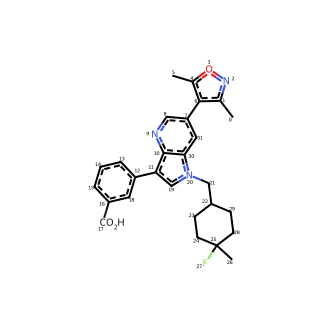 Cc1noc(C)c1-c1cnc2c(-c3cccc(C(=O)O)c3)cn(CC3CCC(C)(F)CC3)c2c1